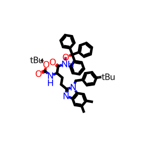 Cc1cc2nc(CCC(NC(=O)OC(C)(C)C)C(=O)NOC(c3ccccc3)(c3ccccc3)c3ccccc3)n(Cc3ccc(C(C)(C)C)cc3)c2cc1C